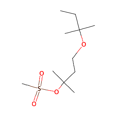 CCC(C)(C)OCCC(C)(C)OS(C)(=O)=O